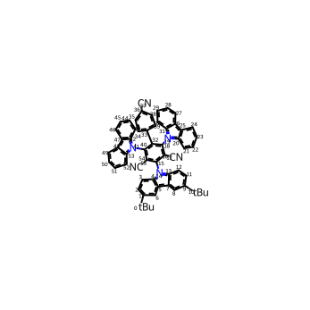 CC(C)(C)c1ccc2c(c1)c1cc(C(C)(C)C)ccc1n2-c1c(C#N)c(-n2c3ccccc3c3ccccc32)c(-c2ccc(C#N)cc2)c(-n2c3ccccc3c3ccccc32)c1C#N